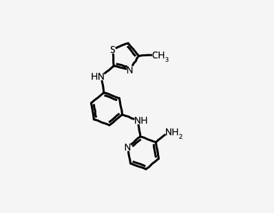 Cc1csc(Nc2cccc(Nc3ncccc3N)c2)n1